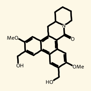 COc1cc2c3c(c4cc(OC)c(CO)cc4c2cc1CO)C(=O)N1CCCCC1C3